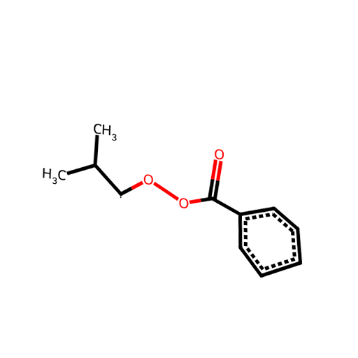 CC(C)[CH]OOC(=O)c1ccccc1